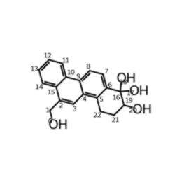 OCc1cc2c3c(ccc2c2ccccc12)C(O)(O)C(O)CC3